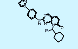 CCC(C1CCCCC1)n1c(=O)ccc2cnc(Nc3ccc(-n4cccn4)cc3)nc21